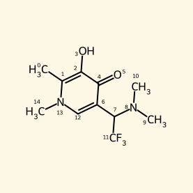 Cc1c(O)c(=O)c(C(N(C)C)C(F)(F)F)cn1C